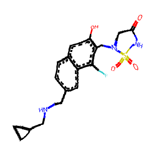 O=C1CN(c2c(O)cc3ccc(CNCC4CC4)cc3c2F)S(=O)(=O)N1